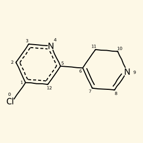 Clc1ccnc(C2=CC=NCC2)c1